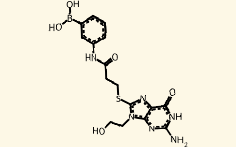 Nc1nc2c(nc(SCCC(=O)Nc3cccc(B(O)O)c3)n2CCO)c(=O)[nH]1